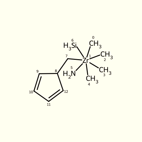 [CH3][Zr]([CH3])([CH3])([CH3])([NH2])([SiH3])[CH2]C1C=CC=C1